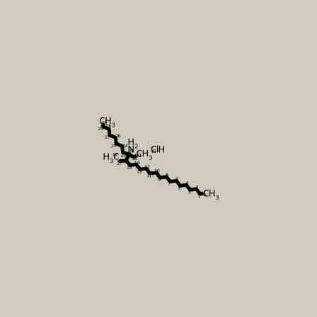 CCCCCCCCCCCCCCCCC(CC)C(N)(CC)CCCCCCCC.Cl